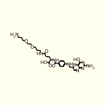 NCCCOCCOCCCNC(=O)CCC(NC(=O)c1ccc(NCc2cnc3nc(N)nc(O)c3n2)cc1)C(=O)O